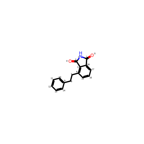 O=C1NC(=O)c2c(CCc3ccccc3)cccc21